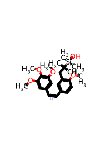 COc1ccc(/C=C\c2cc(OC)c(OC)c(OC)c2)cc1CC(C)(C)[Si](C)(C)O